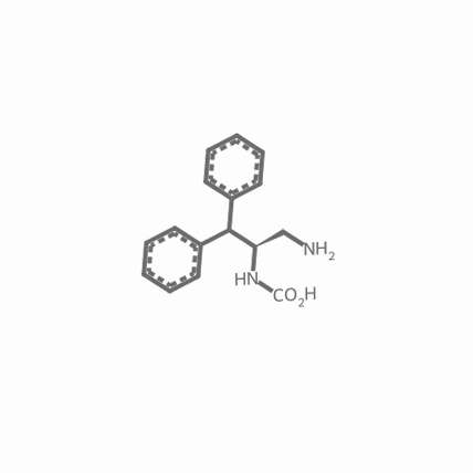 NC[C@@H](NC(=O)O)C(c1ccccc1)c1ccccc1